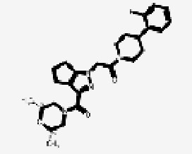 C[C@@H]1CN(C(=O)c2nn(CC(=O)N3CCC(c4ccccc4F)CC3)c3c2CCC3)C[C@H](C)O1